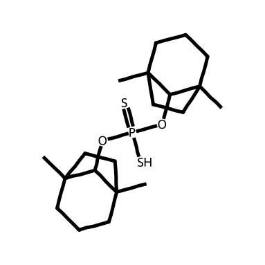 CC12CCCC(C)(CC1)C2OP(=S)(S)OC1C2(C)CCCC1(C)CC2